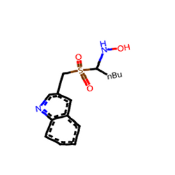 CCCCC(NO)S(=O)(=O)Cc1cnc2ccccc2c1